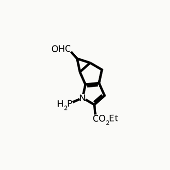 CCOC(=O)c1cc2c(n1P)C1C(C=O)C1C2